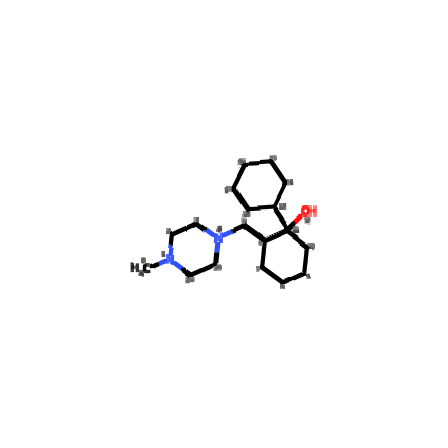 CN1CCN(CC2CCCCC2(O)C2CCCCC2)CC1